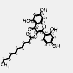 CCCCCCCCCC(=O)Oc1c(-c2ccc(O)cc2O)oc2cc(O)cc(O)c2c1=O